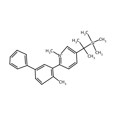 Cc1ccc(-c2ccccc2)cc1-c1ccc(C(C)(C)[Si](C)(C)C)c[n+]1C